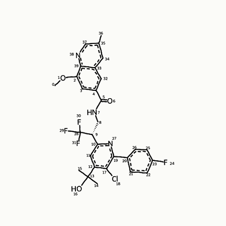 COc1cc(C(=O)NC[C@H](c2cc(C(C)(C)O)c(Cl)c(-c3ccc(F)cc3)n2)C(F)(F)F)cc2cc(C)cnc12